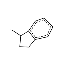 [CH2]C1CCc2ccccc21